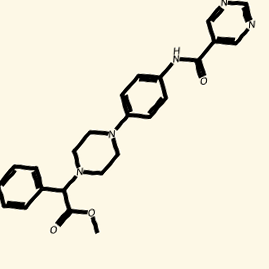 COC(=O)C(c1ccccc1)N1CCN(c2ccc(NC(=O)c3cncnc3)cc2)CC1